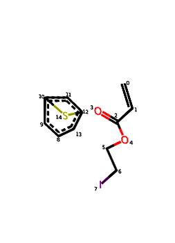 C=CC(=O)OCCI.c1cc2cc(c1)S2